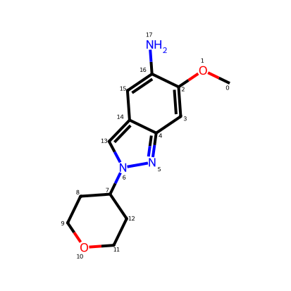 COc1cc2nn(C3CCOCC3)cc2cc1N